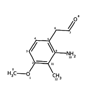 COc1ccc(CC=O)c(N)c1C